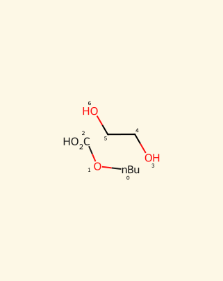 CCCCOC(=O)O.OCCO